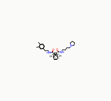 Cc1ccc(CCNC(=O)[C@H]2[C@H](C(=O)NCCCCN3CCCC3)[C@H]3C=C[C@@H]2C32CC2)cc1C